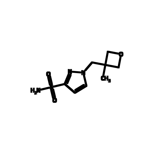 CC1(Cn2ccc(S(N)(=O)=O)n2)COC1